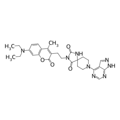 CCN(CC)c1ccc2c(C)c(CCN3C(=O)NC4(CCN(c5ncnc6[nH]ncc56)CC4)C3=O)c(=O)oc2c1